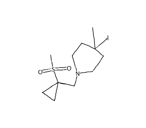 CC1(I)CCN(CC2(S(C)(=O)=O)CC2)CC1